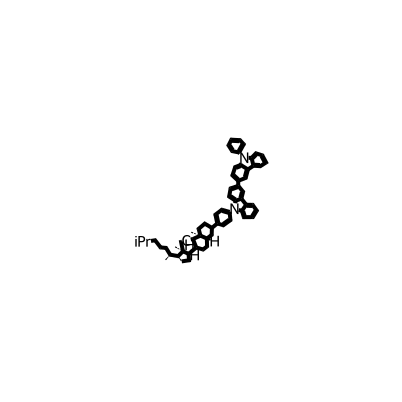 CC(C)CCC[C@@H](C)[C@H]1CC[C@H]2C3CC[C@H]4CC(c5ccc(-n6c7ccccc7c7cc(-c8ccc9c(c8)c8ccccc8n9-c8ccccc8)ccc76)cc5)CC[C@]4(C)[C@H]3CC[C@]12C